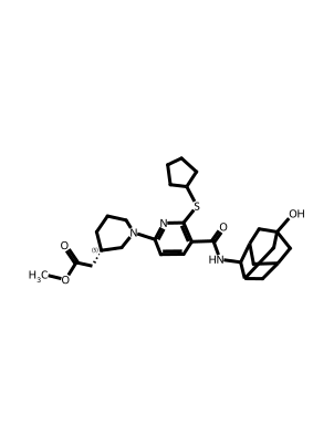 COC(=O)C[C@@H]1CCCN(c2ccc(C(=O)NC3C4CC5CC3CC(O)(C5)C4)c(SC3CCCC3)n2)C1